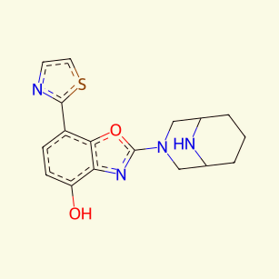 Oc1ccc(-c2nccs2)c2oc(N3CC4CCCC(C3)N4)nc12